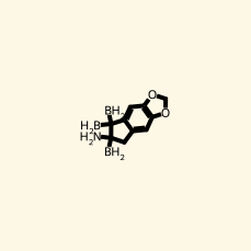 BC1(N)Cc2cc3c(cc2C1(B)B)OCO3